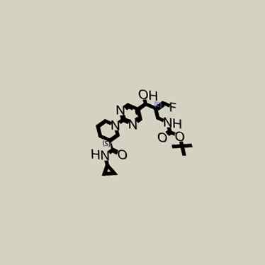 CC(C)(C)OC(=O)NC/C(=C\F)C(O)c1cnc(N2CCC[C@H](C(=O)NC3CC3)C2)nc1